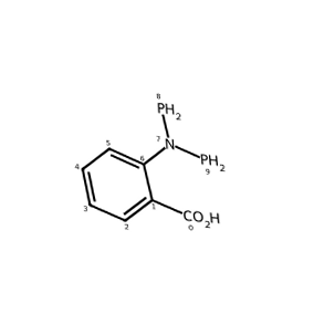 O=C(O)c1ccccc1N(P)P